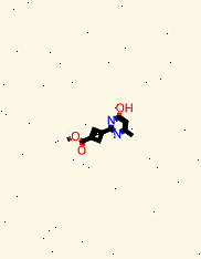 COC(=O)C12CC(c3nc(C)cc(O)n3)(C1)C2